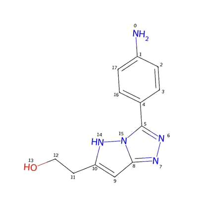 Nc1ccc(-c2nnc3cc(CCO)[nH]n23)cc1